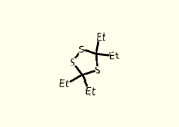 CCC1(CC)SSC(CC)(CC)S1